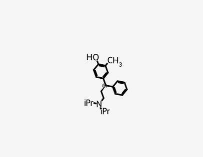 Cc1cc([C@H](CCN(C(C)C)C(C)C)c2ccccc2)ccc1O